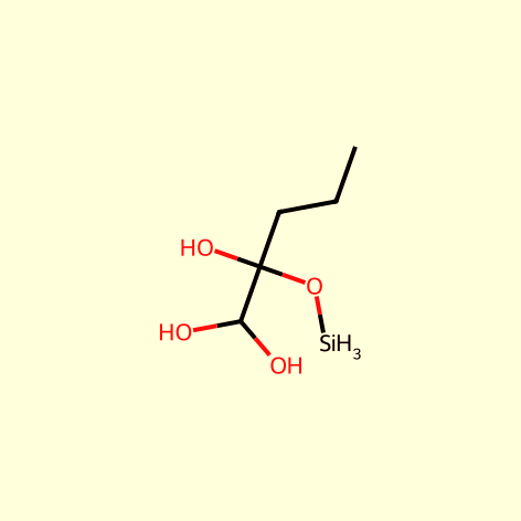 CCCC(O)(O[SiH3])C(O)O